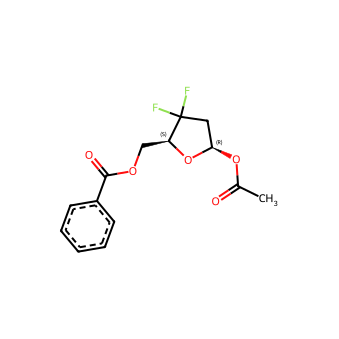 CC(=O)O[C@@H]1CC(F)(F)[C@H](COC(=O)c2ccccc2)O1